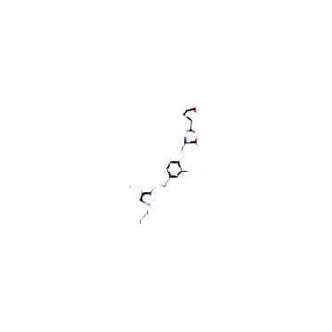 COc1cc(COc2nn(CCO)cc2C=O)ccc1OCc1nc(-c2ccco2)oc1C